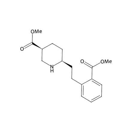 COC(=O)c1ccccc1CC[C@@H]1CC[C@H](C(=O)OC)CN1